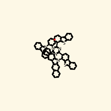 c1ccc(-n2c3ccccc3c3cccc(-c4nc(-c5ccc6c(sc7ccccc76)c5-n5c6cc7ccccc7cc6c6cc7ccccc7cc65)nc(-c5cccc6c5sc5ccccc56)n4)c32)cc1